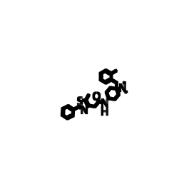 Cc1ccccc1CC1(N(C)C)CCC(NC(=O)Cc2nc(-c3ccccc3)sc2C)CC1